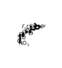 Cc1cc(Br)cc2c1OC(C(F)(F)F)C(C(=O)OCOC(=O)O[C@@H](C)CO[N+](=O)[O-])=C2